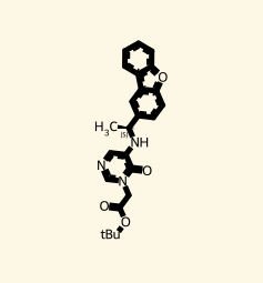 C[C@H](Nc1cncn(CC(=O)OC(C)(C)C)c1=O)c1ccc2oc3ccccc3c2c1